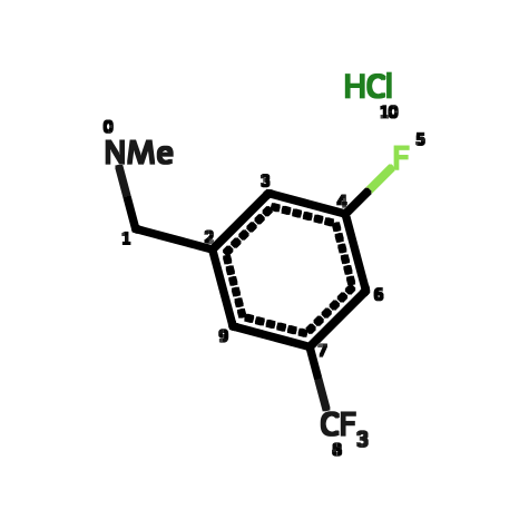 CNCc1cc(F)cc(C(F)(F)F)c1.Cl